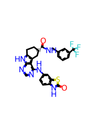 O=C(NCc1cccc(C(F)(F)F)c1)[C@H]1CCc2[nH]c3ncnc(Nc4ccc5[nH]c(=O)sc5c4)c3c2C1